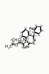 CN(C)OCc1nnc2n1-c1c(cccc1[N+](=O)[O-])C(c1ccccc1F)=NC2